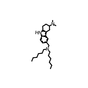 CCCCCCN(CCCCCC)Cc1ccc2[nH]c3c(c2c1)CC(N(C)C)CC3